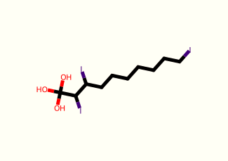 OC(O)(O)C(I)C(I)CCCCCCCI